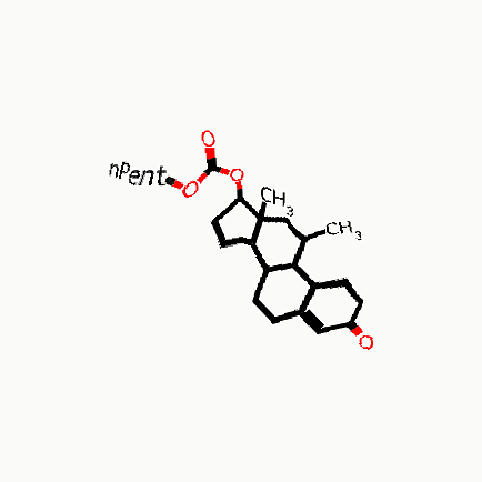 CCCCCOC(=O)OC1CCC2C3CCC4=CC(=O)CCC4C3C(C)CC12C